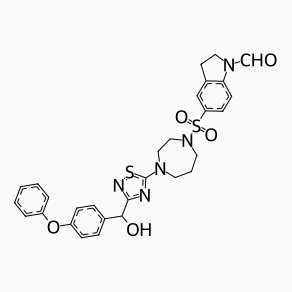 O=CN1CCc2cc(S(=O)(=O)N3CCCN(c4nc(C(O)c5ccc(Oc6ccccc6)cc5)ns4)CC3)ccc21